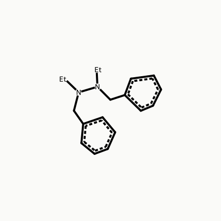 CCN(Cc1ccccc1)N(CC)Cc1ccccc1